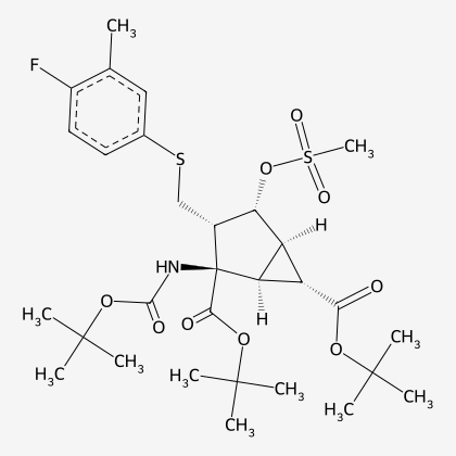 Cc1cc(SC[C@@H]2[C@H](OS(C)(=O)=O)[C@H]3[C@H](C(=O)OC(C)(C)C)[C@H]3[C@]2(NC(=O)OC(C)(C)C)C(=O)OC(C)(C)C)ccc1F